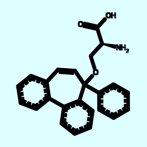 N[C@@H](COC1(c2ccccc2)C=Cc2ccccc2-c2ccccc21)C(=O)O